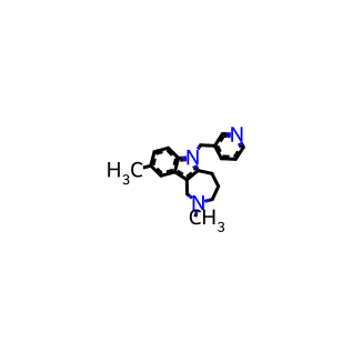 Cc1ccc2c(c1)c1c(n2Cc2cccnc2)CCCN(C)C1